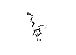 CCOOCC[C@H]1O[C@@H](C)CC1C(=O)OCC